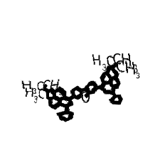 CC(C)(C)c1cc2ccc3c(-c4ccccc4)cc(-c4ccc5c(c4)oc4cc(-c6cc(-c7ccccc7)c7ccc8cc(C(C)(C)C)cc9ccc6c7c89)ccc45)c4ccc(c1)c2c34